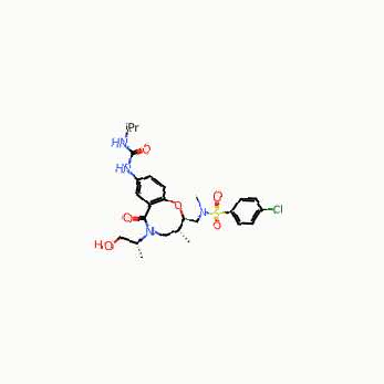 CC(C)NC(=O)Nc1ccc2c(c1)C(=O)N([C@H](C)CO)C[C@@H](C)[C@H](CN(C)S(=O)(=O)c1ccc(Cl)cc1)O2